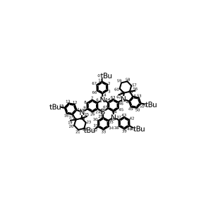 CC(C)(C)c1ccc(N2c3ccc(N4c5ccc(C(C)(C)C)cc5C5(C)CCCCC45C)cc3B3c4cc(C(C)(C)C)ccc4N(c4ccc(C(C)(C)C)cc4)c4cc(N5c6ccc(C(C)(C)C)cc6C6(C)CCCCC56C)cc2c43)cc1